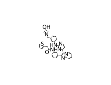 O=C(Cc1cccs1)Nc1cccc(-c2nc3ccccn3c2-c2ccnc(Nc3cccc(CN4CC(O)C4)c3)n2)c1